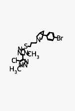 Cn1nnc(-c2nnc(SCCCN3CC4CC4(c4ccc(Br)cc4)C3)n2C)c1Cl